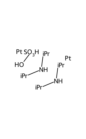 CC(C)NC(C)C.CC(C)NC(C)C.O=S(=O)(O)O.[Pt].[Pt]